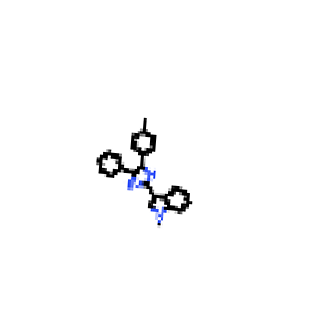 Cc1ccc(-c2nc(-c3cn(C)c4ccccc34)[nH]c2-c2ccccc2)cc1